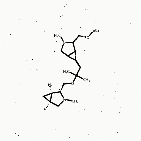 CN1CC2C(CC(C)(C)OC[C@@H]3[C@@H]4C[C@@H]4CN3C)C2C1COC(C)(C)C